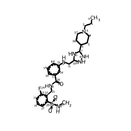 CCCN1CCC(C2NNC(CNc3cccc(C(=O)NCc4c(F)cccc4S(=O)(=O)NC)c3)N2)CC1